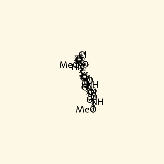 COCCNC(=O)Oc1ccc(C(=O)NS(=O)(=O)c2ccc(CCNC(=O)c3cc(Cl)ccc3OC)cc2)cn1